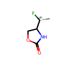 C[C@@H](F)C1COC(=O)N1